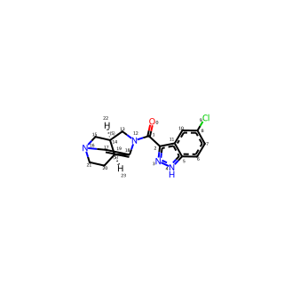 O=C(c1n[nH]c2ccc(Cl)cc12)N1C[C@@H]2CN3C=C1[C@H]2CC3